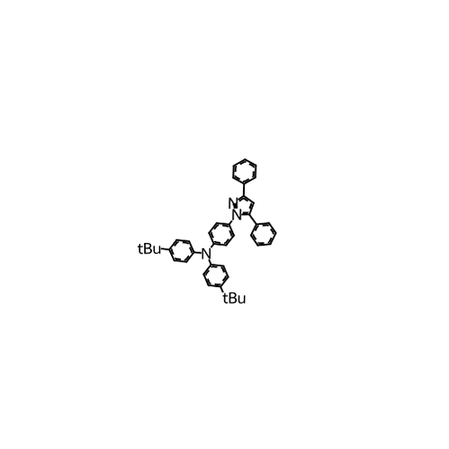 CC(C)(C)c1ccc(N(c2ccc(-n3nc(-c4ccccc4)cc3-c3ccccc3)cc2)c2ccc(C(C)(C)C)cc2)cc1